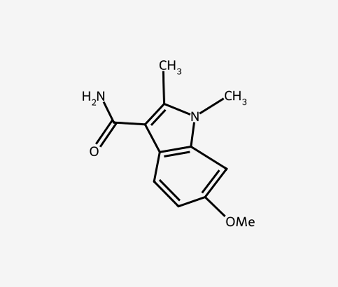 COc1ccc2c(C(N)=O)c(C)n(C)c2c1